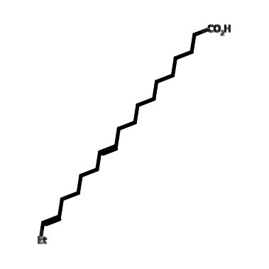 CC/C=C/CCCC/C=C/CCCCCCCCCC(=O)O